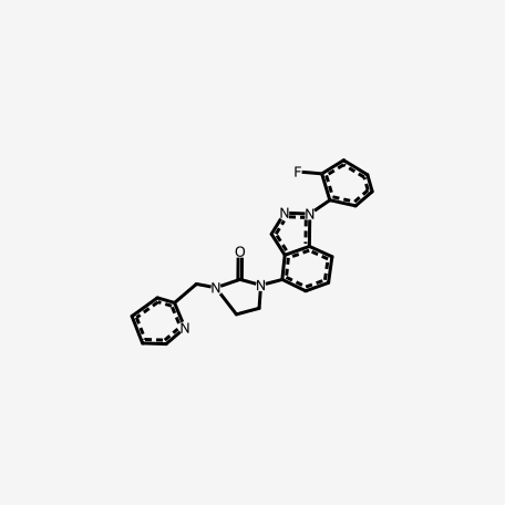 O=C1N(Cc2ccccn2)CCN1c1cccc2c1cnn2-c1ccccc1F